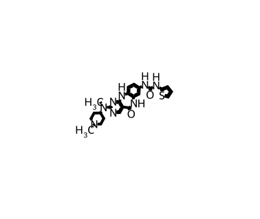 CN1CCC(N(C)c2ncc3c(n2)Nc2ccc(NC(=O)Nc4cccs4)cc2NC3=O)CC1